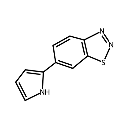 c1c[nH]c(-c2ccc3nnsc3c2)c1